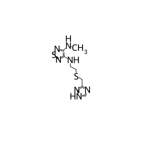 CNc1nsnc1NCCSCc1nc[nH]n1